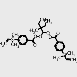 [CH2]C(CC)(CC)[C](OOC(=O)c1ccc([Si](C)(C)C=C)cc1)OOC(=O)c1ccc([Si](C)(C)C=C)cc1